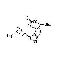 CN(C)CCn1cnc2ccc3c(C(C)(C)C)nc(=O)oc3c21